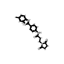 Cc1ccc2nc(-c3ccc(NC(=O)CCN4C(=O)CCC4=O)cc3)sc2c1